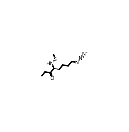 CCC(=O)[C@H](CCCCN=[N+]=[N-])NSC